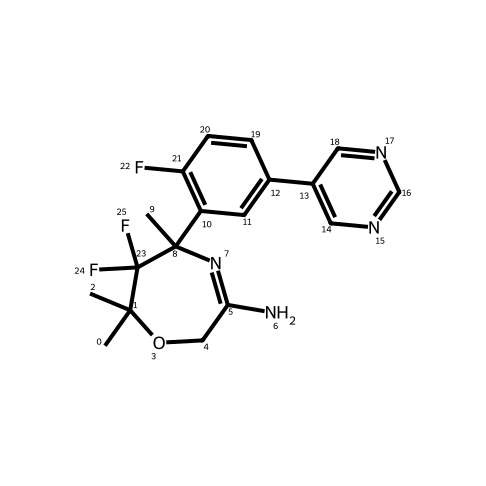 CC1(C)OCC(N)=NC(C)(c2cc(-c3cncnc3)ccc2F)C1(F)F